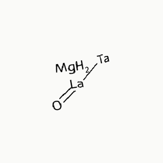 [MgH2].[O]=[La][Ta]